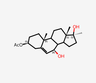 CC(=O)O[C@H]1CC[C@@]2(C)C(=C[C@H](O)C3C2CC[C@@]2(C)C3CC[C@]2(C)O)C1